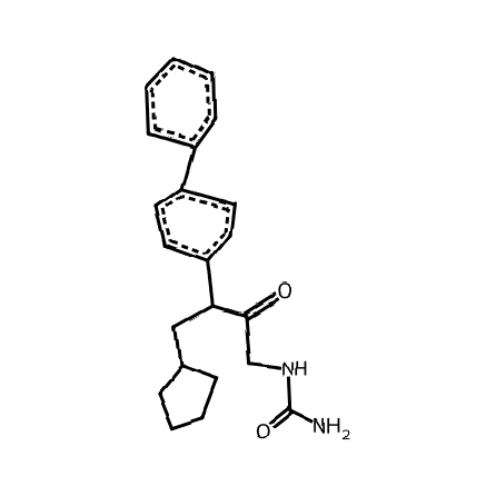 NC(=O)NCC(=O)C(CC1CCCC1)c1ccc(-c2ccccc2)cc1